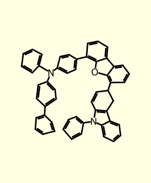 C1=CC(c2cccc3c2oc2c(-c4ccc(N(c5ccccc5)c5ccc(-c6ccccc6)cc5)cc4)cccc23)Cc2c1n(-c1ccccc1)c1ccccc21